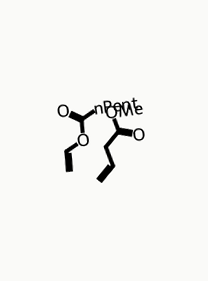 C=CCC(=O)OC.C=COC(=O)CCCCC